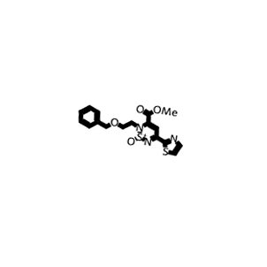 COC(=O)C1=CC(c2nccs2)=N[S+]([O-])N1CCOCc1ccccc1